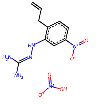 C=CCc1ccc([N+](=O)[O-])cc1NN=C(N)N.O=[N+]([O-])O